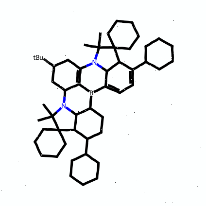 CC(C)(C)C1CC2=C3B(C4=CC=C(C5CCCCC5)C5C4N2C(C)(C)C52CCCCC2)C2CCC(C4CCCCC4)C4C2N(C3C1)C(C)(C)C41CCCCC1